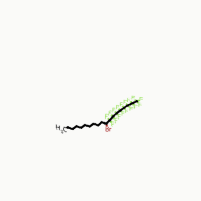 CCCCCCCCCCC(Br)C(F)(F)C(F)(F)C(F)(F)C(F)(F)C(F)(F)C(F)(F)C(F)(F)C(F)(F)F